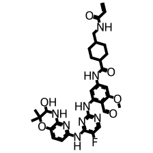 C=CC(=O)NCC1CCC(C(=O)Nc2cc(Nc3ncc(F)c(Nc4ccc5c(n4)NC(O)C(C)(C)O5)n3)c(C=O)c(OC)c2)CC1